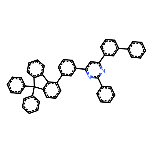 c1ccc(-c2cccc(-c3cc(-c4cccc(-c5cccc6c5-c5ccccc5C6(c5ccccc5)c5ccccc5)c4)nc(-c4ccccc4)n3)c2)cc1